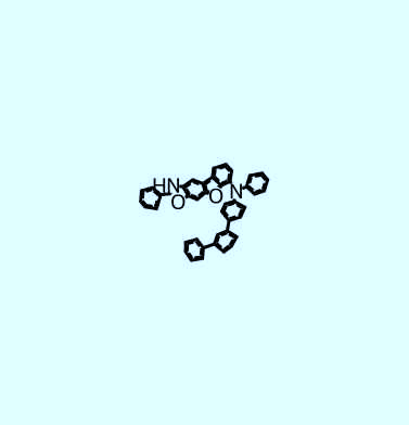 c1ccc(-c2cccc(-c3ccc(N(c4ccccc4)c4cccc5c4oc4cc6c(cc45)NC(c4ccccc4)O6)cc3)c2)cc1